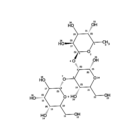 CC1O[C@@H](O[C@H]2C(O[C@@H]3OC(CO)[C@H](O)[C@H](O)C3O)[C@@H](O)C(CO)O[C@H]2O)[C@@H](O)C(O)[C@@H]1O